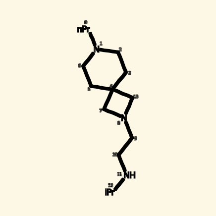 CCCN1CCC2(CC1)CN(CCNC(C)C)C2